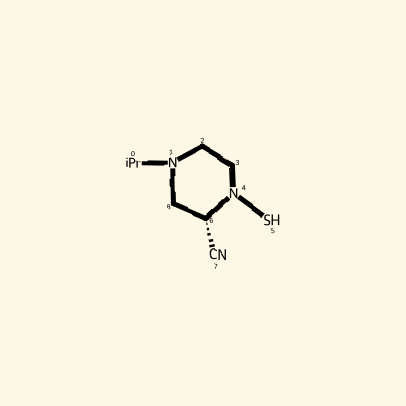 CC(C)N1CCN(S)[C@H](C#N)C1